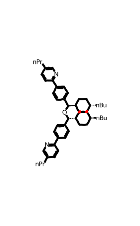 CCCC[C@H]1CC[C@H](C(OC(c2ccc(-c3ccc(CCC)cn3)cc2)[C@H]2CC[C@H](CCCC)CC2)c2ccc(-c3ccc(CCC)cn3)cc2)CC1